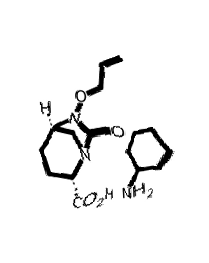 C=CCON1C(=O)N2C[C@H]1CC[C@H]2C(=O)O.NC1CCCCC1